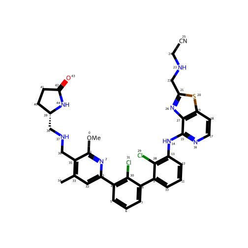 COc1nc(-c2cccc(-c3cccc(Nc4nccc5sc(CNCC#N)nc45)c3Cl)c2Cl)cc(C)c1CNC[C@@H]1CCC(=O)N1